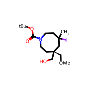 COC[C@@]1(CO)CCN(C(=O)OC(C)(C)C)CCC(C)(I)C1